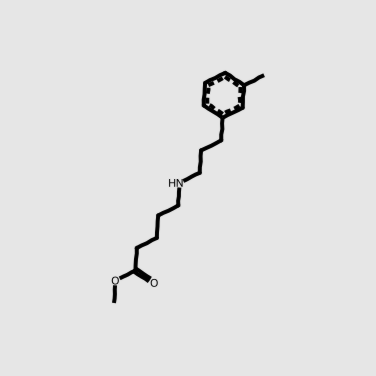 COC(=O)CCCCNCCCc1cccc(C)c1